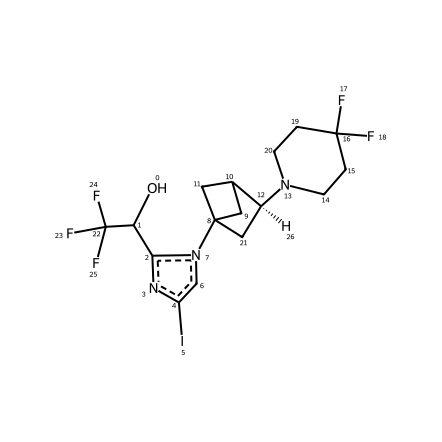 OC(c1nc(I)cn1C12CC(C1)[C@@H](N1CCC(F)(F)CC1)C2)C(F)(F)F